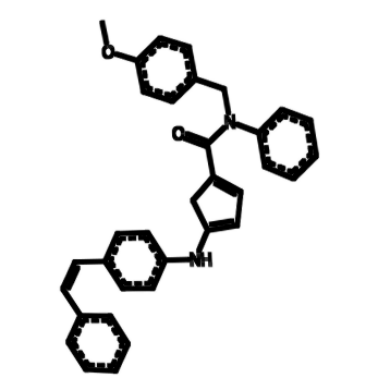 COc1ccc(CN(C(=O)C2=CC=C(Nc3ccc(/C=C\c4ccccc4)cc3)C2)c2ccccc2)cc1